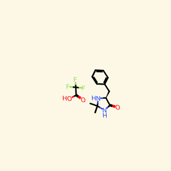 CC1(C)NC(=O)[C@H](Cc2ccccc2)N1.O=C(O)C(F)(F)F